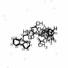 CC(C)C[C@H](NC(=O)[C@H](CC(C)C)NC(=O)Cn1c2ccccc2c2cccnc21)B1O[C@@H]2C[C@@H]3C[C@@H](C3(C)C)[C@]2(C)O1